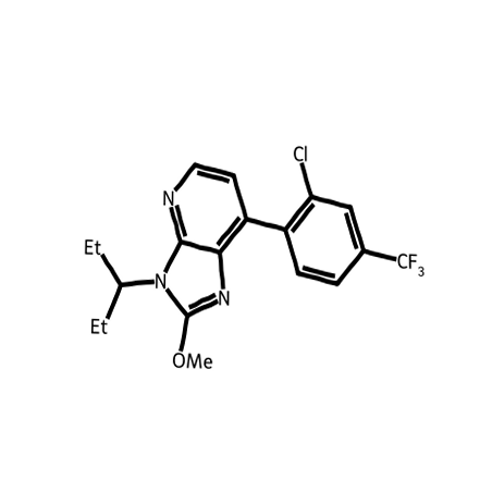 CCC(CC)n1c(OC)nc2c(-c3ccc(C(F)(F)F)cc3Cl)ccnc21